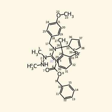 CNN(C)/C(=N\C(=O)OCc1ccccc1)N(Cc1ccc(OC)cc1)C(C)(c1ccccc1Br)C1CC=CS1